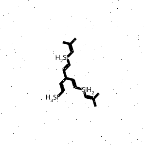 CC(C)=C[SiH2]C=CC(C=C[SiH3])C=C[SiH2]C=C(C)C